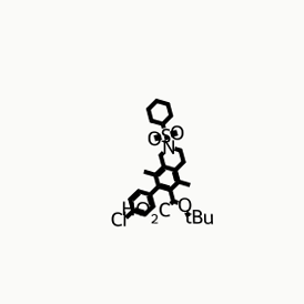 Cc1c2c(c(C)c(C(OC(C)(C)C)C(=O)O)c1-c1ccc(Cl)cc1)CCN(S(=O)(=O)C1CCCCC1)C2